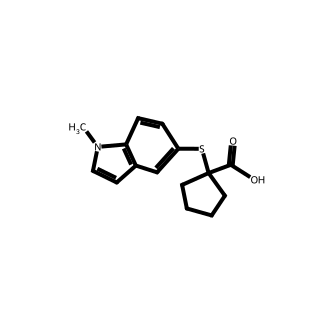 Cn1ccc2cc(SC3(C(=O)O)CCCC3)ccc21